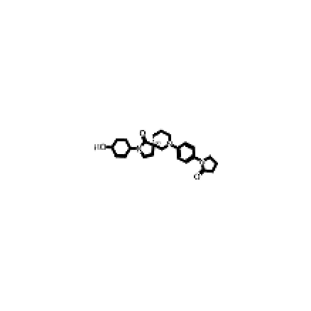 O=C1CCCN1c1ccc(N2CCC[C@@]3(CCN(C4CCC(O)CC4)C3=O)C2)cc1